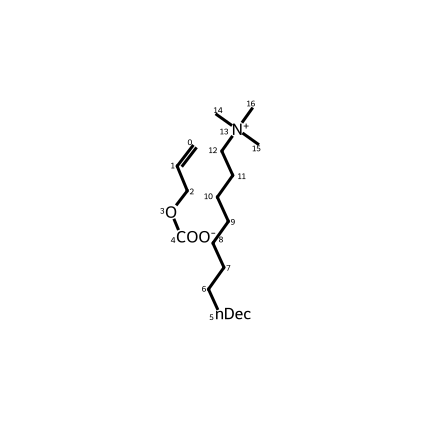 C=CCOC(=O)[O-].CCCCCCCCCCCCCCCCC[N+](C)(C)C